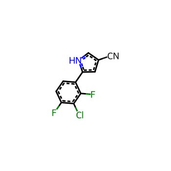 N#Cc1c[nH]c(-c2ccc(F)c(Cl)c2F)c1